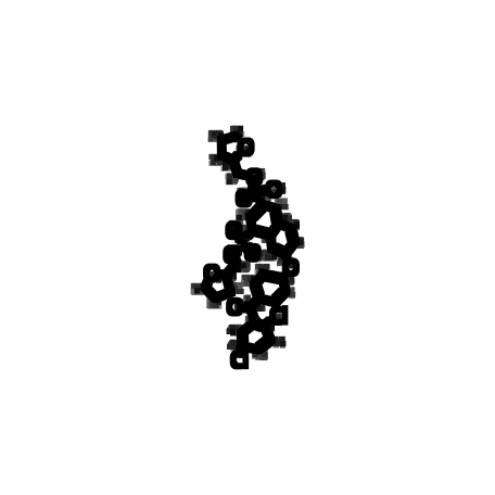 O=C(c1ccc(Oc2ccc3cc(S(=O)(=O)OCC4CCCO4)cc(S(=O)(=O)OCC4CCCO4)c3c2)cc1)c1cc(Cl)ccc1Cl